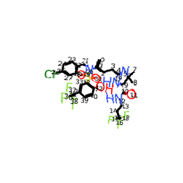 C=C(CCC1=NC(C)(C)[C@H](C(=O)NCCC(F)(F)F)N1)N(Cc1ccc(Cl)cc1)S(=O)(=O)c1cc(C(F)(F)F)ccc1O